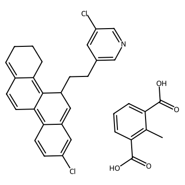 Cc1c(C(=O)O)cccc1C(=O)O.Clc1cncc(CCC2C=c3cc(Cl)ccc3=c3ccc4c(c32)CCCC=4)c1